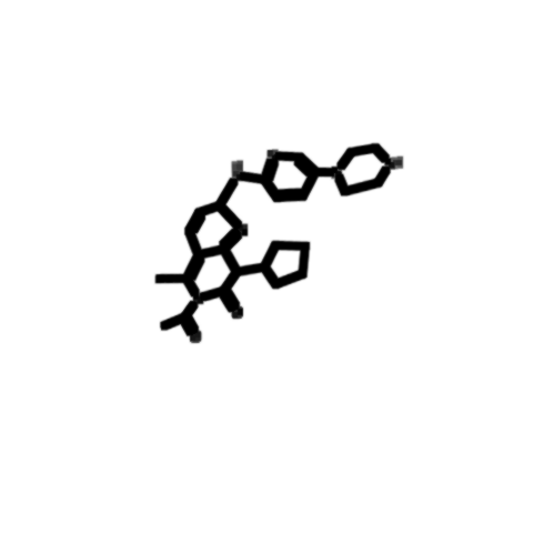 CC(=O)N1C(=O)C(C2CCCC2)C2=NC(Nc3ccc(N4CCNCC4)cn3)C=CC2=C1C